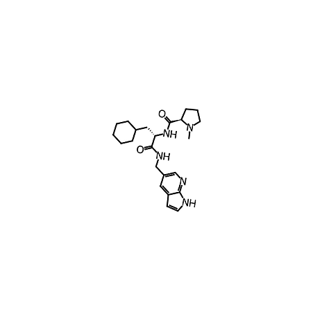 CN1CCC[C@@H]1C(=O)N[C@@H](CC1CCCCC1)C(=O)NCc1cnc2[nH]ccc2c1